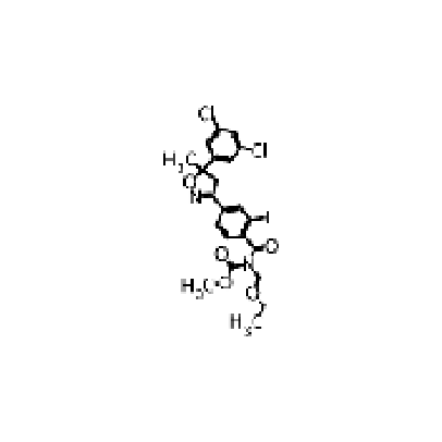 CCOCN(C(=O)OC)C(=O)c1ccc(C2=NOC(C)(c3cc(Cl)cc(Cl)c3)C2)cc1I